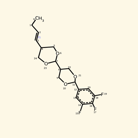 CC/C=C/C1COC(C2COC(c3cc(F)c(F)c(F)c3)OC2)OC1